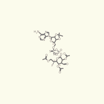 CC(=O)OC[C@H](F)C1O[C@@H](OP(=O)(O)OP(O)(=S)OC[C@H]2O[C@@H](n3cnc4c(N)ncnc43)C3OC(C)(C)OC32)C(OC(C)=O)C(C=O)[C@@H]1OC(C)=O